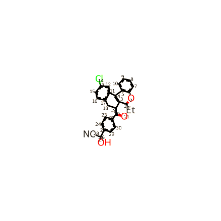 CCC(=O)C1=C(c2ccccc2)c2cc(Cl)ccc2CC1C(=O)c1ccc(C(O)C#N)cc1